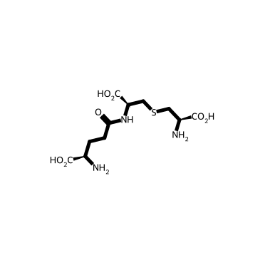 N[C@H](CCC(=O)N[C@H](CSC[C@H](N)C(=O)O)C(=O)O)C(=O)O